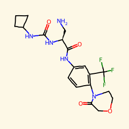 NC[C@H](NC(=O)NC1CCC1)C(=O)Nc1ccc(N2CCOCC2=O)c(C(F)(F)F)c1